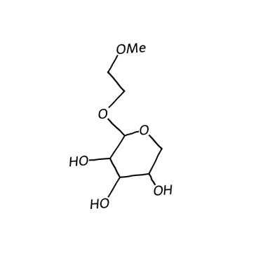 COCCOC1OCC(O)C(O)C1O